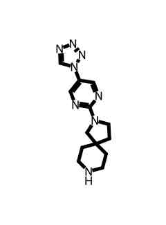 c1nc(N2CCC3(CCNCC3)C2)ncc1-n1cnnn1